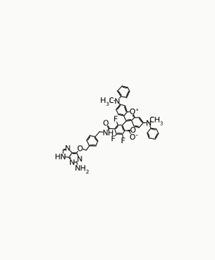 CN(c1ccccc1)c1ccc2c(-c3c(F)c(C(=O)NCc4ccc(COc5nc(N)nc6[nH]cnc56)cc4)c(F)c(F)c3C(=O)[O-])c3ccc(N(C)c4ccccc4)cc3[o+]c2c1